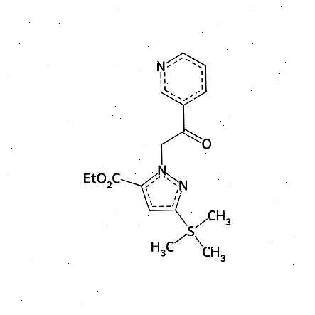 CCOC(=O)c1cc(S(C)(C)C)nn1CC(=O)c1cccnc1